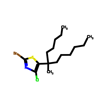 CCCCCCC(C)(CCCCC)c1sc(Br)nc1Cl